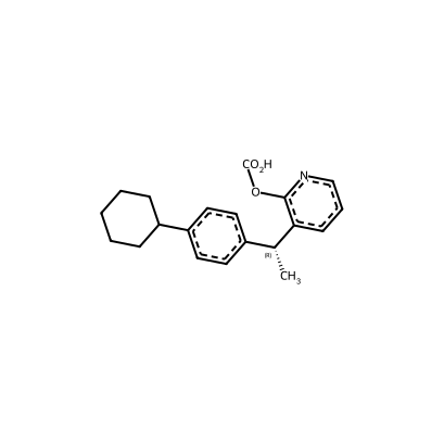 C[C@H](c1ccc(C2CCCCC2)cc1)c1cccnc1OC(=O)O